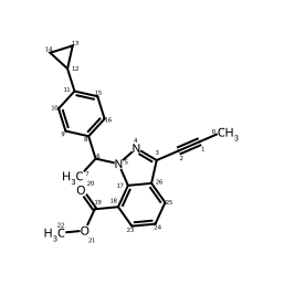 CC#Cc1nn(C(C)c2ccc(C3CC3)cc2)c2c(C(=O)OC)cccc12